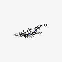 CNc1ccc2c(O)c(/N=N/c3cc(OC)c(S(=O)(=O)CCOS(=O)(=O)O)cc3OC)c(S(=O)(=O)O)cc2c1/N=N/c1cc(S(=O)(=O)CCOS(=O)(=O)O)ccc1OC